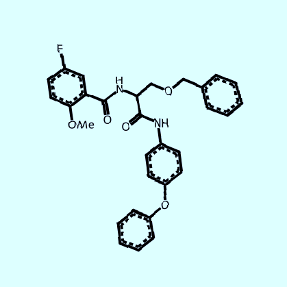 COc1ccc(F)cc1C(=O)NC(COCc1ccccc1)C(=O)Nc1ccc(Oc2ccccc2)cc1